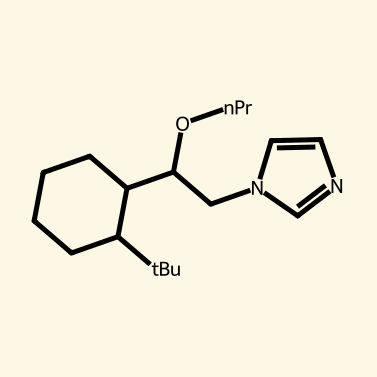 CCCOC(Cn1ccnc1)C1CCCCC1C(C)(C)C